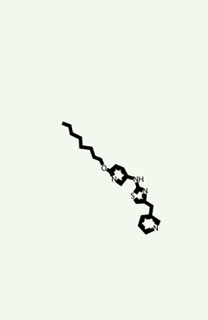 CCCCCCCCOc1ccc(Nc2nc(Cc3cccnc3)cs2)cn1